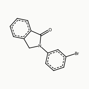 O=C1c2ccccc2CN1c1cccc(Br)c1